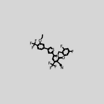 CCOc1cc(-c2csc(-c3cc(C(F)(F)F)c(C#N)c(=O)n3Cc3ccc(F)cc3F)c2)ccc1C(F)(F)F